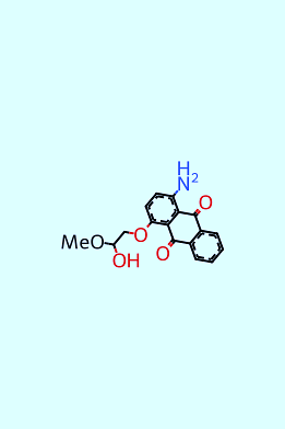 COC(O)COc1ccc(N)c2c1C(=O)c1ccccc1C2=O